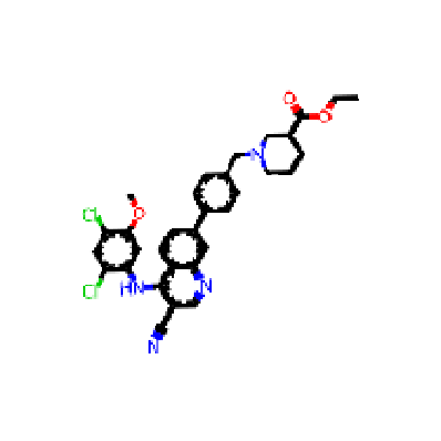 CCOC(=O)C1CCCN(Cc2ccc(-c3ccc4c(Nc5cc(OC)c(Cl)cc5Cl)c(C#N)cnc4c3)cc2)C1